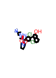 CN(C)C1CN(c2nc(N3CC4CCC(C3)N4C(=O)OC(C)(C)C)c3cc(Cl)c(-c4cc(O)cc5ccccc45)c(Cl)c3n2)C1